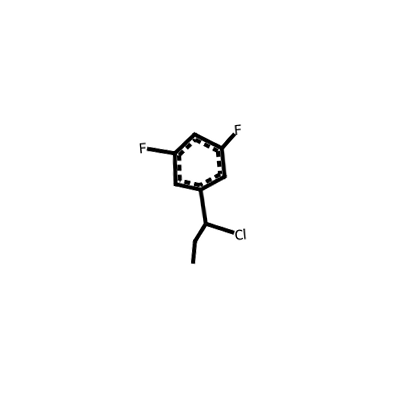 CCC(Cl)c1cc(F)cc(F)c1